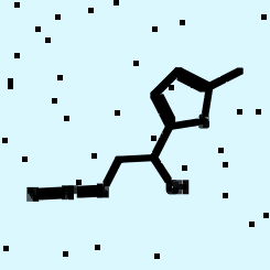 Cc1ccc(C(O)CN=[N+]=[N-])s1